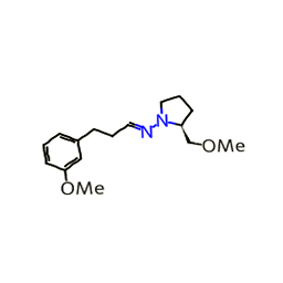 COC[C@@H]1CCCN1/N=C/CCc1cccc(OC)c1